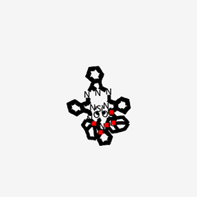 c1ccc2c(c1)C1=NC/2=N\c2c3ccccc3c3n2[Si](OCC24CC5CC(CC(C5)C2)C4)(OCC24CC5CC(CC(C5)C2)C4)n2/c(c4ccccc4/c2=N/C2=NC(=N\3)/c3ccccc32)=N\1